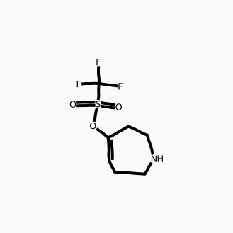 O=S(=O)(OC1=CCCNCC1)C(F)(F)F